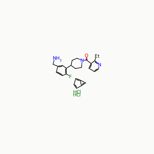 CCc1ncccc1C(=O)N1CCC(c2cc(CN)ccc2F)CC1.Cl.Cl.c1cc2cc-2c1